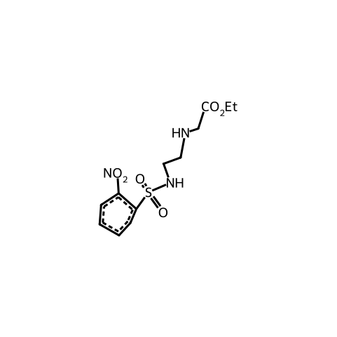 CCOC(=O)CNCCNS(=O)(=O)c1ccccc1[N+](=O)[O-]